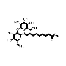 COC(=O)CCCCCCCCO[C@H]1O[C@H](CN)[C@@H](O)[C@H](O)[C@H]1O[C@H]1O[C@H](CO)[C@@H](O)[C@H](O)[C@H]1O